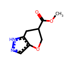 COC(=O)C1COc2cn[nH]c2C1